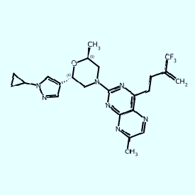 C=C(CCc1nc(N2C[C@H](C)O[C@@H](c3cnn(C4CC4)c3)C2)nc2nc(C)cnc12)C(F)(F)F